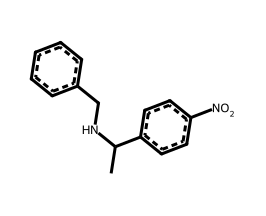 CC(NCc1ccccc1)c1ccc([N+](=O)[O-])cc1